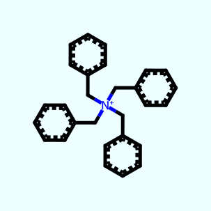 c1ccc(C[N+](Cc2ccccc2)(Cc2ccccc2)Cc2ccccc2)cc1